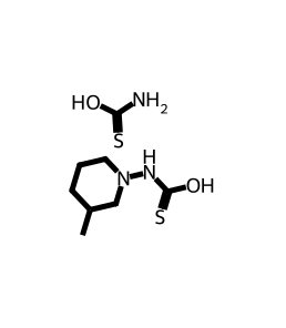 CC1CCCN(NC(O)=S)C1.NC(O)=S